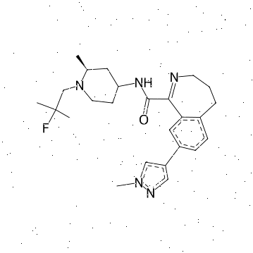 C[C@H]1CC(NC(=O)C2=NCCCc3ccc(-c4cnn(C)c4)cc32)CCN1CC(C)(C)F